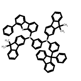 CC1(C)c2ccccc2-c2cc(N(c3cccc(N(c4cccc(C5(c6ccccc6)c6ccccc6-c6ccccc65)c4)c4ccc5c(c4)C(C)(C)c4ccccc4-5)c3)c3cccc4c3sc3c(-c5ccccc5)cccc34)ccc21